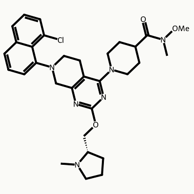 CON(C)C(=O)C1CCN(c2nc(OC[C@@H]3CCCN3C)nc3c2CCN(c2cccc4cccc(Cl)c24)C3)CC1